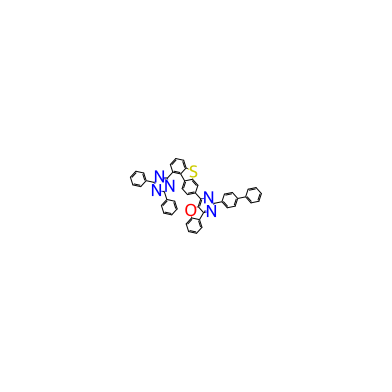 c1ccc(-c2ccc(-c3nc(-c4ccc5c(c4)sc4cccc(-c6nc(-c7ccccc7)nc(-c7ccccc7)n6)c45)c4oc5ccccc5c4n3)cc2)cc1